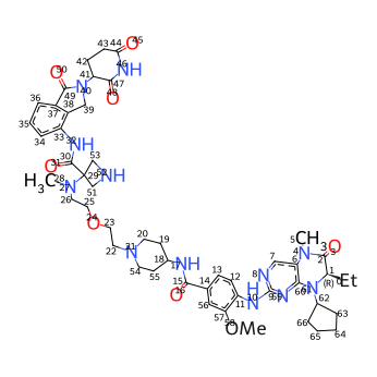 CC[C@@H]1C(=O)N(C)c2cnc(Nc3ccc(C(=O)NC4CCN(CCOCCN(C)C5(C(=O)Nc6cccc7c6CN(C6CCC(=O)NC6=O)C7=O)CNC5)CC4)cc3OC)nc2N1C1CCCC1